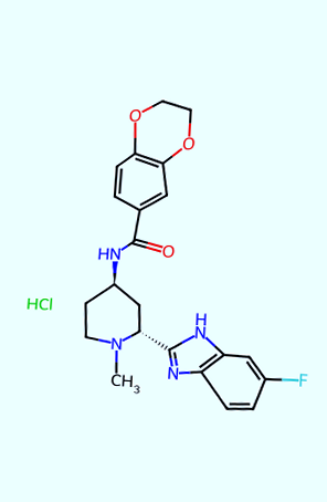 CN1CC[C@@H](NC(=O)c2ccc3c(c2)OCCO3)C[C@@H]1c1nc2ccc(F)cc2[nH]1.Cl